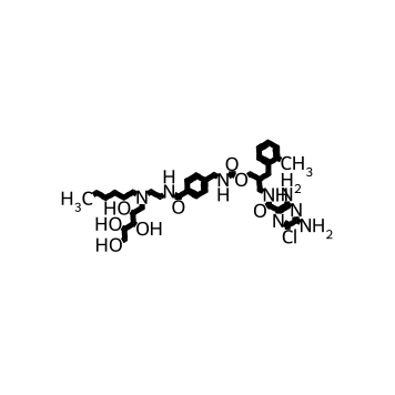 CCCCCCN(CCNC(=O)c1ccc(CNC(=O)OCC(CNC(=O)c2nc(Cl)c(N)nc2N)Cc2ccccc2C)cc1)CC(O)C(O)C(O)CO